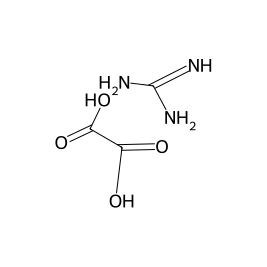 N=C(N)N.O=C(O)C(=O)O